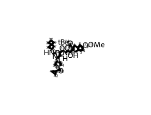 COCOc1ccc2c(c1)CN(C(=O)OC(C)(C)C)[C@H]([C@H](O)CNC(=O)c1cc(NC3CC4(CCC4)C3)nc(N3CCN(C(=O)C4CC4)CC3)c1)C2